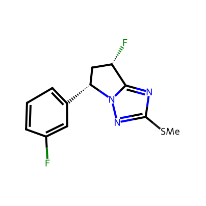 CSc1nc2n(n1)[C@H](c1cccc(F)c1)C[C@@H]2F